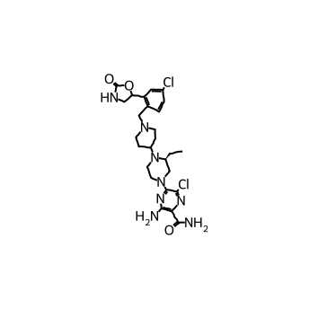 CC[C@H]1CN(c2nc(N)c(C(N)=O)nc2Cl)CCN1C1CCN(Cc2ccc(Cl)cc2C2CNC(=O)O2)CC1